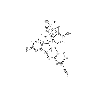 [2H]C([2H])(O)C1(C([2H])([2H])OC2(c3ccc(Cl)cc3)c3c(F)cc(Br)cc3C(=O)N2Cc2ccc(C#N)cc2)CC1